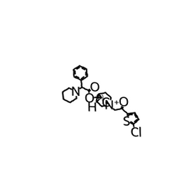 O=C(C[N+]12CCC(CC1)[C@@H](OC(=O)C(c1ccccc1)N1CCCCC1)C2)c1ccc(Cl)s1